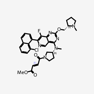 COC(=O)/C=C/C(=O)N1CC[C@@H](N(C)c2nc(OC[C@@H]3CCCN3C)nc3c(F)c(-c4cccc5cccc(Cl)c45)ncc23)C1